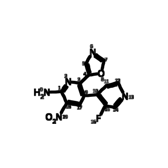 Nc1nc(-c2cnco2)c(-c2ccncc2F)cc1[N+](=O)[O-]